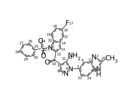 Cc1nc2cc(-n3ncc(C(=O)c4cc5cc(F)ccc5n4S(=O)(=O)c4ccccc4)c3N)ccc2[nH]1